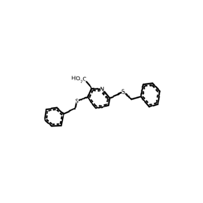 O=C(O)c1nc(SCc2ccccc2)ccc1SCc1ccccc1